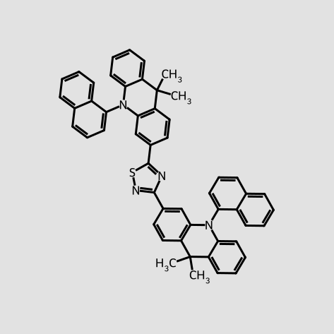 CC1(C)c2ccccc2N(c2cccc3ccccc23)c2cc(-c3nsc(-c4ccc5c(c4)N(c4cccc6ccccc46)c4ccccc4C5(C)C)n3)ccc21